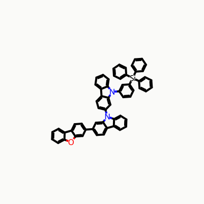 c1ccc([Si](c2ccccc2)(c2ccccc2)c2cccc(-n3c4ccccc4c4ccc(-n5c6ccccc6c6ccc(-c7ccc8c(c7)oc7ccccc78)cc65)cc43)c2)cc1